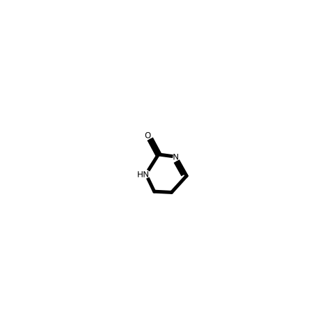 O=C1N=CCCN1